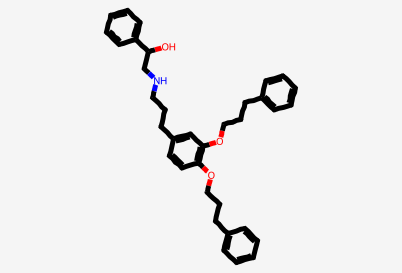 OC(CNCCCc1ccc(OCCCc2ccccc2)c(OCCCc2ccccc2)c1)c1ccccc1